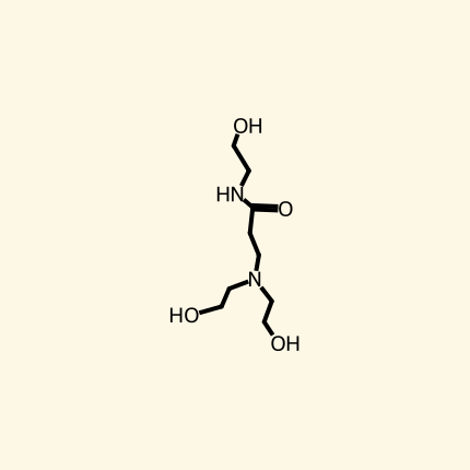 O=C(CCN(CCO)CCO)NCCO